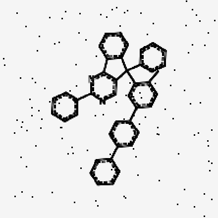 Cc1ccc(-c2ccc(-c3ccccc3)cc2)cc1C1(c2ccccc2)c2ccccc2-c2nc(-c3ccccc3)ncc21